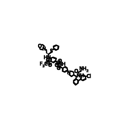 NCC(=O)NC(c1ccccc1-c1ccc(Cl)cc1)C1CCN(c2ccc(C(=O)NS(=O)(=O)c3ccc(N[C@H](CCN4CCOCC4)CSc4ccccc4)c(S(=O)(=O)C(F)(F)F)c3)cc2)CC1